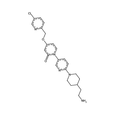 NCCC1CCN(c2ccc(-n3ccc(OCc4ccc(Cl)cn4)cc3=O)cn2)CC1